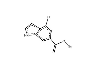 C=C(OCC)c1cc2[nH]ccc2c(Cl)n1